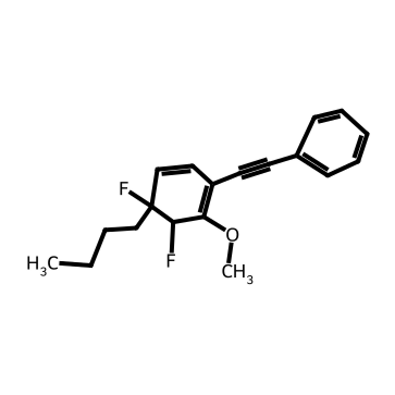 CCCCC1(F)C=CC(C#Cc2ccccc2)=C(OC)C1F